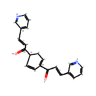 O=C(/C=C/c1cccnc1)C1=CCC(C(=O)/C=C/c2cccnc2)C=C1